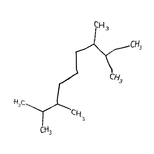 [CH2]C(C)C(C)CCCC(C)C(C)C